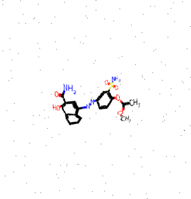 COC(C)Oc1ccc(/N=N/c2cc(C(N)=O)c(O)c3ccccc23)cc1S(N)(=O)=O